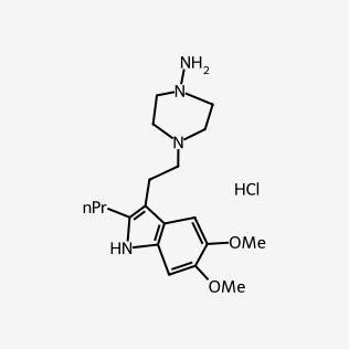 CCCc1[nH]c2cc(OC)c(OC)cc2c1CCN1CCN(N)CC1.Cl